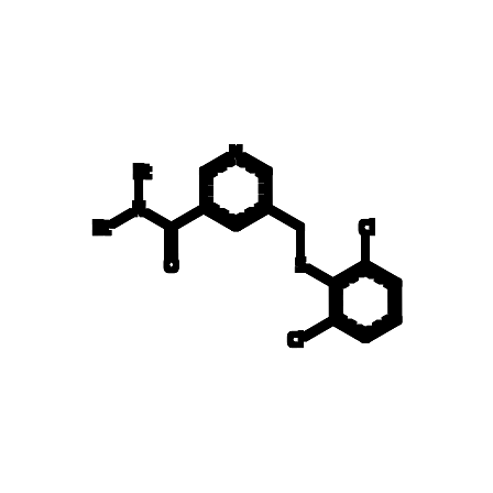 CCN(CC)C(=O)c1cncc(CSc2c(Cl)cccc2Cl)c1